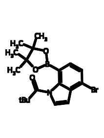 CC(C)(C)C(=O)n1ccc2c(Br)ccc(B3OC(C)(C)C(C)(C)O3)c21